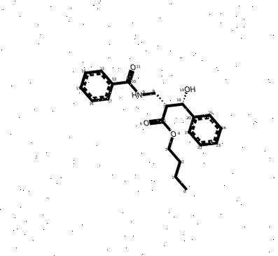 CCCCOC(=O)[C@H](CNC(=O)c1ccccc1)[C@H](O)c1ccccc1